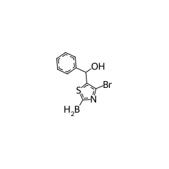 Bc1nc(Br)c(C(O)c2ccccc2)s1